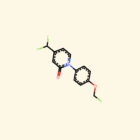 O=c1cc(C(F)F)ccn1-c1ccc(OCF)cc1